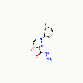 Cc1cccc(-n2ccc(=O)c(C(=O)NN)n2)c1